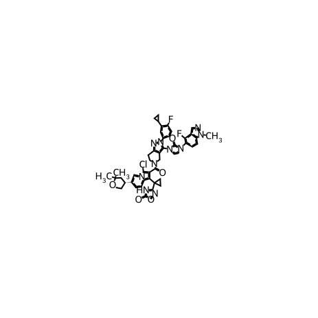 Cn1ncc2c(F)c(-n3ccn(-c4c5c(nn4-c4ccc(F)c(C6CC6)c4)CCN(C(=O)c4c(C6(c7noc(=O)[nH]7)CC6)c6ccc([C@@H]7CCOC(C)(C)C7)cn6c4Cl)C5)c3=O)ccc21